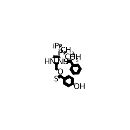 CC(C)C.CC(C)C.OC(=S)c1ccccc1.Oc1ccc(C(=S)OCC2NCCN2)cc1